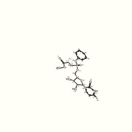 CC(C)OC(=O)[C@H](C)NP(=O)(OC[C@H]1O[C@@H](n2ccc(=S)[nH]c2=O)[C@@H](O)[C@H]1O)Oc1ccccc1